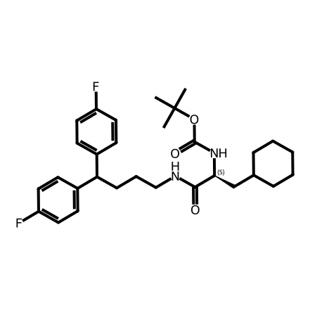 CC(C)(C)OC(=O)N[C@@H](CC1CCCCC1)C(=O)NCCCC(c1ccc(F)cc1)c1ccc(F)cc1